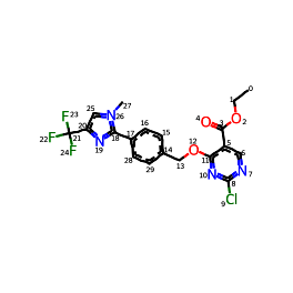 CCOC(=O)c1cnc(Cl)nc1OCc1ccc(-c2nc(C(F)(F)F)cn2C)cc1